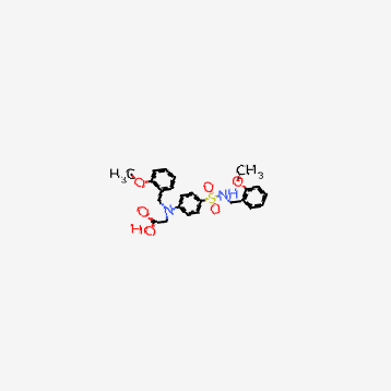 COc1ccccc1CNS(=O)(=O)c1ccc(N(CC(=O)O)Cc2ccccc2OC)cc1